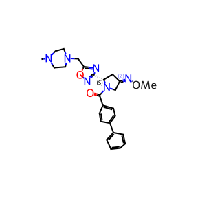 CO/N=C1/C[C@@H](c2noc(CN3CCN(C)CC3)n2)N(C(=O)c2ccc(-c3ccccc3)cc2)C1